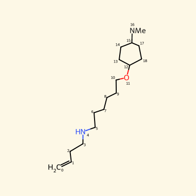 C=CCCNCCCCCCOC1CCC(NC)CC1